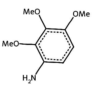 COc1ccc(N)c(OC)c1OC